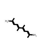 C\C(N)=C/C=C(C)/C(C)=C/C=C(\C)N